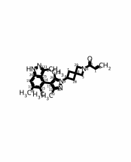 C=CC(=O)N1CC2(CC(n3nc(C)c(-c4c(C)c(C)cc5[nH]nc(C)c45)c3C)C2)C1